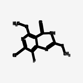 COc1nc(Cl)c(F)c2nc(SC)[nH]c(=O)c12